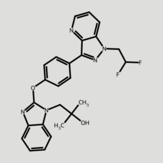 CC(C)(O)Cn1c(Oc2ccc(-c3nn(CC(F)F)c4cccnc34)cc2)nc2ccccc21